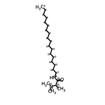 CCCCCCCCCCCCCCCCCCNC(=O)C(C)N(C)C